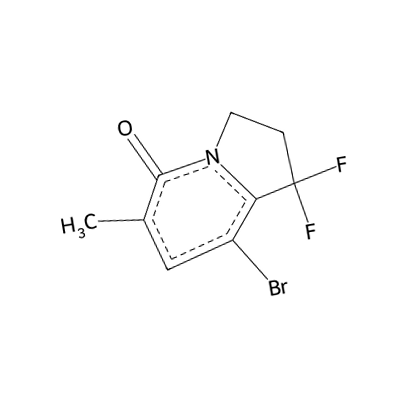 Cc1cc(Br)c2n(c1=O)CCC2(F)F